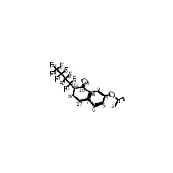 CC(C)Oc1ccc2c(c1)C(=O)C(C(F)(F)C(F)(F)C(F)(F)C(F)(F)F)CC2